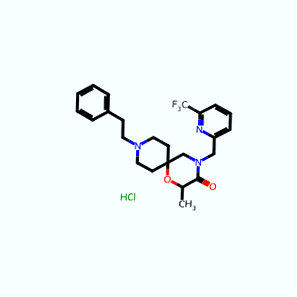 CC1OC2(CCN(CCc3ccccc3)CC2)CN(Cc2cccc(C(F)(F)F)n2)C1=O.Cl